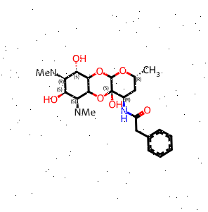 CN[C@@H]1[C@H](O)[C@H](NC)C2O[C@]3(O)C(OC2[C@H]1O)O[C@H](C)C[C@H]3NC(=O)Cc1ccccc1